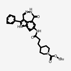 CC(C)(C)OC(=O)N1CCC(CCC(=O)Nc2cc3c4c(c(-c5ccccc5)[nH]c4c2)C=NNC3=O)CC1